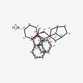 Cc1nc2ccccc2n1C1CC2CCC(C1)N2CC[C@]1(c2ccccc2)CC[C@@H](N)CC1